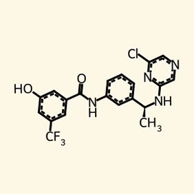 C[C@H](Nc1cncc(Cl)n1)c1cccc(NC(=O)c2cc(O)cc(C(F)(F)F)c2)c1